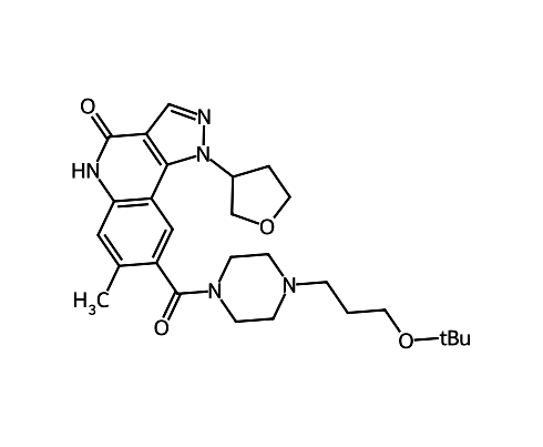 Cc1cc2[nH]c(=O)c3cnn(C4CCOC4)c3c2cc1C(=O)N1CCN(CCCOC(C)(C)C)CC1